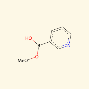 COOB(O)c1cccnc1